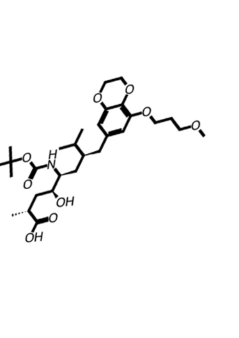 COCCCOc1cc(C[C@@H](C[C@H](NC(=O)OC(C)(C)C)[C@@H](O)C[C@@H](C)C(=O)O)C(C)C)cc2c1OCCO2